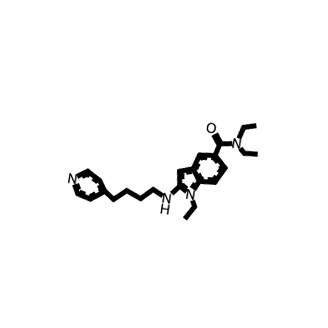 CCN(CC)C(=O)c1ccc2c(c1)cc(NCCCCc1ccncc1)n2CC